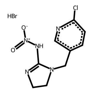 Br.O=[N+]([O-])NC1=NCCN1Cc1ccc(Cl)nc1